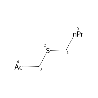 CCCCSCC(C)=O